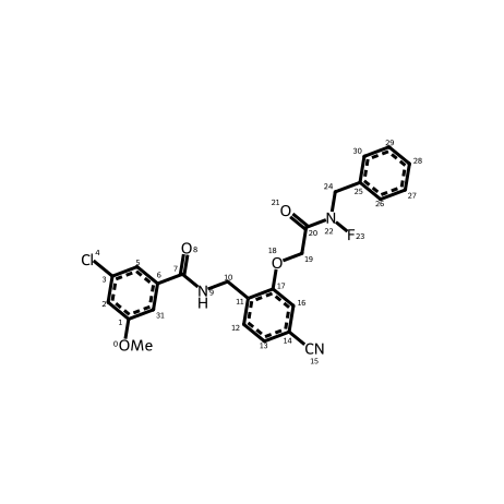 COc1cc(Cl)cc(C(=O)NCc2ccc(C#N)cc2OCC(=O)N(F)Cc2ccccc2)c1